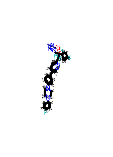 O[C@@](Cn1cnnn1)(c1ccc(F)cc1F)C(F)(F)c1ccc(-c2ccc(N3CCN(c4ccc(F)cc4)CC3)cc2)cn1